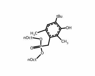 CCCCCCCCOP(=O)(Cc1c(C)cc(C(C)(C)C)c(O)c1C)OCCCCCCCC